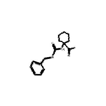 O=C(NC1(C(=O)F)CCCCC1)OCc1ccccc1